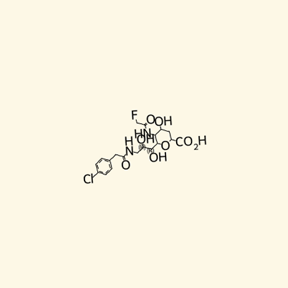 O=C(Cc1ccc(Cl)cc1)NC[C@@H](O)[C@@H](O)C1OC(C(=O)O)CC(O)C1NC(=O)CF